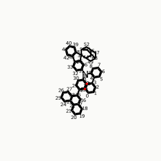 c1ccc(-c2ccccc2N(c2ccc(-c3cc4ccccc4c4ccccc34)cc2)c2ccc3c(c2)C2(c4ccccc4-3)C3CC4CC(C3)CC2C4)cc1